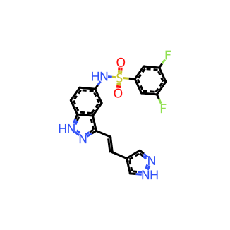 O=S(=O)(Nc1ccc2[nH]nc(C=Cc3cn[nH]c3)c2c1)c1cc(F)cc(F)c1